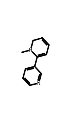 CN1CC=CC=C1c1cccnc1